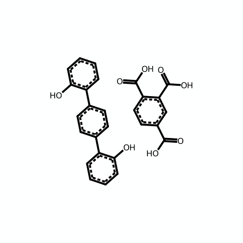 O=C(O)c1ccc(C(=O)O)c(C(=O)O)c1.Oc1ccccc1-c1ccc(-c2ccccc2O)cc1